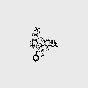 CSCC[C@@](C[C@H]1OC(C)(C)O[C@H](C)[C@@H]1NC(=O)OC(C)(C)C)(C(=O)NCc1ccccc1)N(C(=O)CCC(C)C)C(=O)[C@@H](C)N